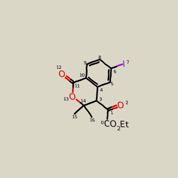 CCOC(=O)C(=O)C1c2cc(I)ccc2C(=O)OC1(C)C